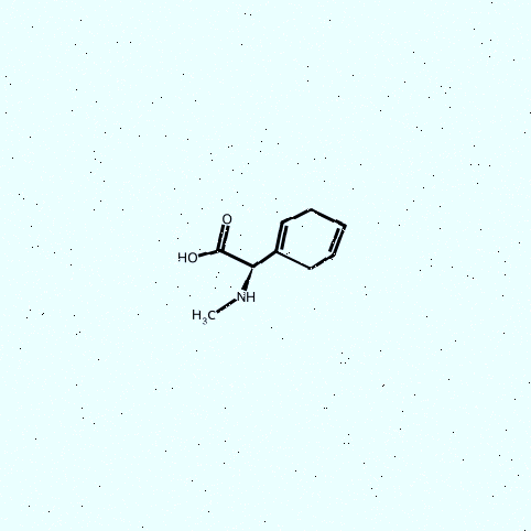 CN[C@@H](C(=O)O)C1=CCC=CC1